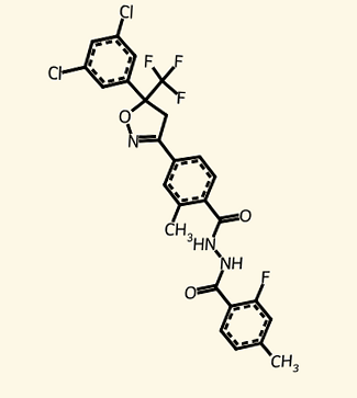 Cc1ccc(C(=O)NNC(=O)c2ccc(C3=NOC(c4cc(Cl)cc(Cl)c4)(C(F)(F)F)C3)cc2C)c(F)c1